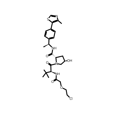 Cc1ncsc1-c1ccc([C@H](C)NC(=O)[C@@H]2C[C@@H](O)CN2C(=O)[C@@H](NC(=O)COCCCl)C(C)(C)C)cc1